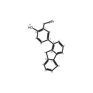 CC(C)Cc1cc(-c2cccc3c2Cc2ccccc2-3)ccc1O